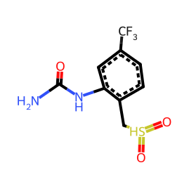 NC(=O)Nc1cc(C(F)(F)F)ccc1C[SH](=O)=O